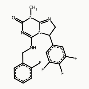 CN1C(=O)N=C(NCc2ccccc2F)N2C1=NCC2c1cc(F)c(F)c(F)c1